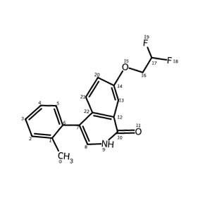 Cc1ccccc1-c1c[nH]c(=O)c2cc(OCC(F)F)ccc12